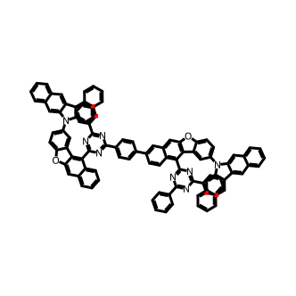 c1ccc(-c2nc(-c3ccccc3)nc(-c3c4ccc(-c5ccc(-c6nc(-c7ccccc7)nc(-c7c8ccccc8cc8oc9ccc(-n%10c%11cc%12ccccc%12cc%11c%11c%12ccccc%12ccc%11%10)cc9c78)n6)cc5)cc4cc4oc5ccc(-n6c7cc8ccccc8cc7c7cc8ccccc8cc76)cc5c34)n2)cc1